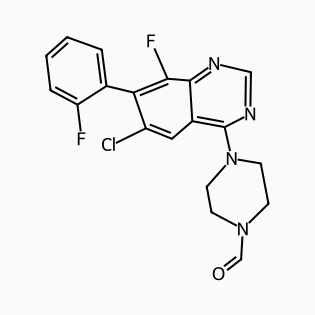 O=CN1CCN(c2ncnc3c(F)c(-c4ccccc4F)c(Cl)cc23)CC1